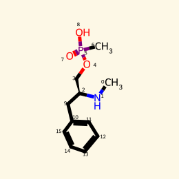 CN[C@H](COP(C)(=O)O)Cc1ccccc1